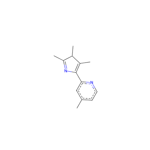 CC1=NC(c2cc(C)ccn2)=C(C)C1C